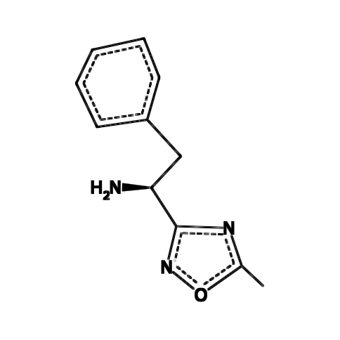 Cc1nc([C@@H](N)Cc2ccccc2)no1